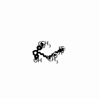 CN(CCCCCCC1=C(c2ccc(S(C)(=O)=O)cc2)CCCc2cc(O)ccc21)CCC[S+]([O-])CCCC(F)(F)C(F)(F)F